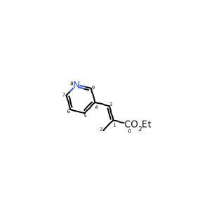 CCOC(=O)C(C)=Cc1cccnc1